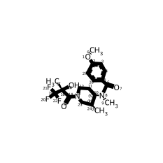 COc1ccc(C(=O)N(C)[C@H]2CCN(C(=O)[C@@](C)(O)C(F)(F)F)C[C@H]2C)cc1